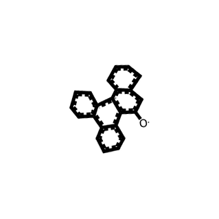 [O]c1cc2ccccc2c2c3ccccc3c3ccccc3c12